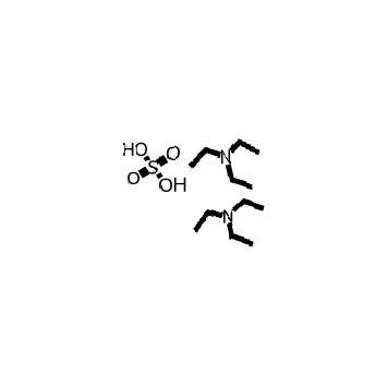 CCN(CC)CC.CCN(CC)CC.O=S(=O)(O)O